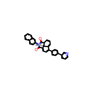 CC12C3=CC=C(c4ccc(-c5cccnc5)cc4)C1=CC=CC2C(=O)N(c1ccc2ccccc2c1)C3=O